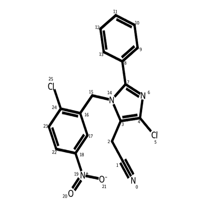 N#CCc1c(Cl)nc(-c2ccccc2)n1Cc1cc([N+](=O)[O-])ccc1Cl